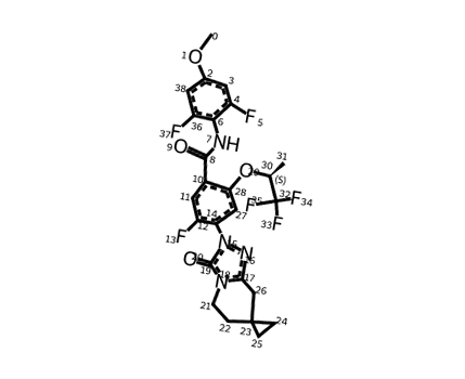 COc1cc(F)c(NC(=O)c2cc(F)c(-n3nc4n(c3=O)CCC3(CC3)C4)cc2O[C@@H](C)C(F)(F)F)c(F)c1